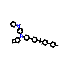 CCC(C)C(C)(c1ccc(-c2ccc(C)cc2)cc1)c1ccc(-c2ccc(N(c3ccc(N(C)c4ccccc4)cc3)c3ccc4c(c3)CC4)cc2)cc1